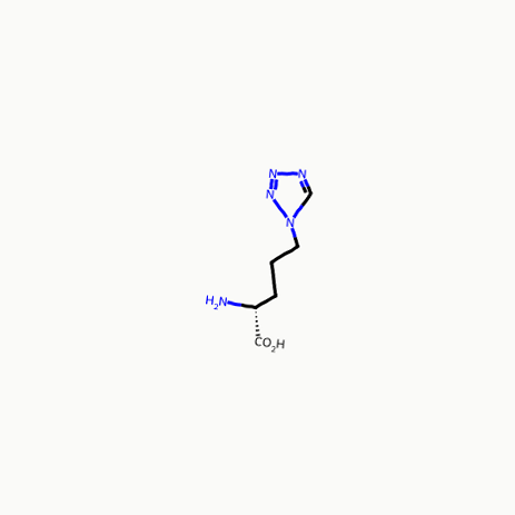 N[C@H](CCCn1cnnn1)C(=O)O